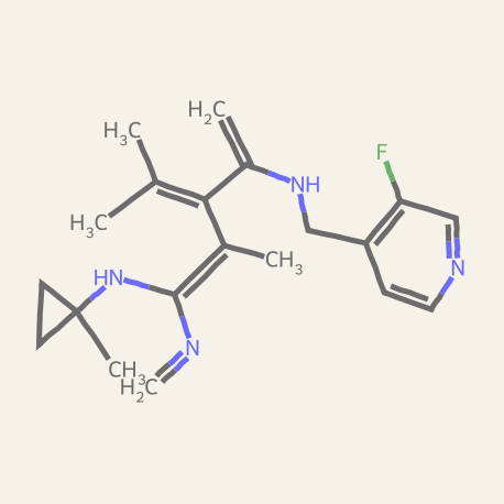 C=N/C(NC1(C)CC1)=C(\C)C(C(=C)NCc1ccncc1F)=C(C)C